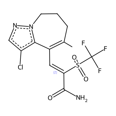 CC1=C(/C=C(/C(N)=O)S(=O)(=O)C(F)(F)F)c2c(Cl)cnn2CCC1